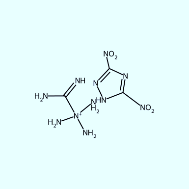 N=C(N)[N+](N)(N)N.O=[N+]([O-])c1n[nH]c([N+](=O)[O-])n1